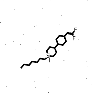 CCCCCCC[SiH]1CCC(C2CCC(C=C(F)F)CC2)CC1